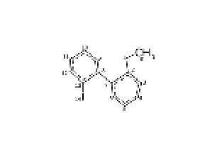 CCc1ccccc1-c1ccccc1I